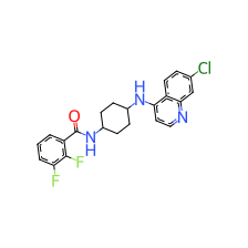 O=C(NC1CCC(Nc2ccnc3cc(Cl)ccc23)CC1)c1cccc(F)c1F